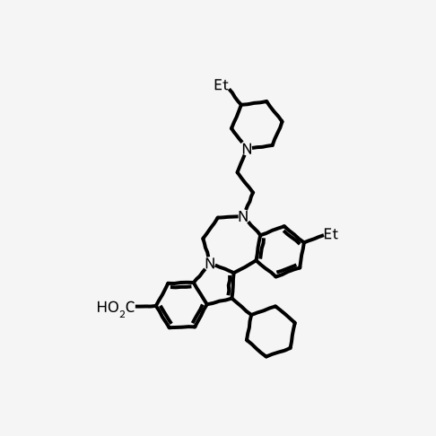 CCc1ccc2c(c1)N(CCN1CCCC(CC)C1)CCn1c-2c(C2CCCCC2)c2ccc(C(=O)O)cc21